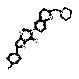 O=c1c2sc(-c3ccc(F)cc3)cc2ncn1-c1ccc2nc(CN3CCCCC3)ccc2c1